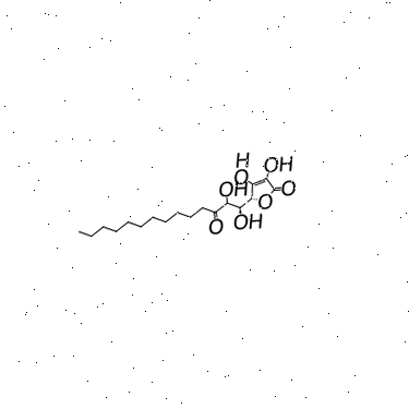 CCCCCCCCCCCC(=O)C(O)[C@H](O)[C@H]1OC(=O)C(O)=C1O